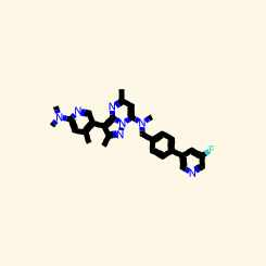 Cc1cc(N(C)Cc2ccc(-c3cncc(F)c3)cc2)n2nc(C)c(-c3cnc(N(C)C)cc3C)c2n1